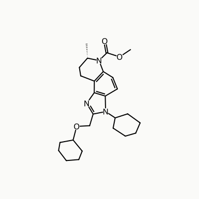 COC(=O)N1c2ccc3c(nc(COC4CCCCC4)n3C3CCCCC3)c2CC[C@@H]1C